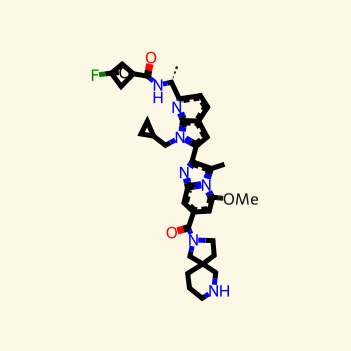 COc1cc(C(=O)N2CCC3(CCCNC3)C2)cc2nc(-c3cc4ccc([C@@H](C)NC(=O)C56CC(F)(C5)C6)nc4n3CC3CC3)c(C)n12